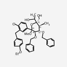 CCOc1ccc(Cc2cc([C@]3(OC)O[C@@](CO)(C(C)O)[C@@H](C)[C@H](OCc4ccccc4)[C@H]3OCc3ccccc3)ccc2Cl)cc1